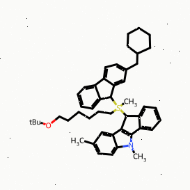 Cc1ccc2c(c1)c1c(n2C)-c2ccccc2C1S(C)(CCCCCCOC(C)(C)C)C1c2ccccc2-c2ccc(CC3CCCCC3)cc21